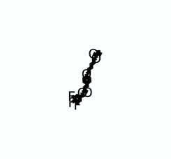 C=C(C)C(=O)OCCCCCCOc1ccc(/C=C/C(=O)OCc2cc(F)c(F)c(F)c2)cc1